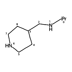 CC(C)NCC1CCNCC1